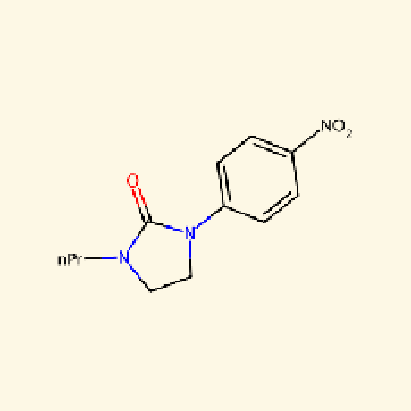 CCCN1CCN(c2ccc([N+](=O)[O-])cc2)C1=O